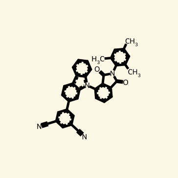 Cc1cc(C)c(N2C(=O)c3cccc(-n4c5ccccc5c5ccc(-c6cc(C#N)cc(C#N)c6)cc54)c3C2=O)c(C)c1